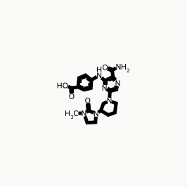 CN1CCN(C2CCCN(c3cnc(C(N)=O)c(Nc4ccc(C(=O)O)cc4)n3)C2)C1=O